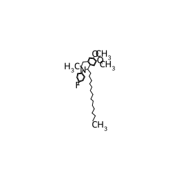 CCCCCCCCCCCCCCCC1c2cc(OC)c(OC)cc2CC(C)N1c1ccc(F)cc1